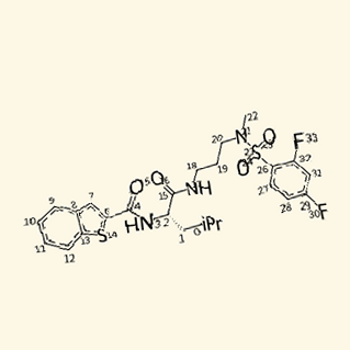 CC(C)C[C@H](NC(=O)c1cc2ccccc2s1)C(=O)NCCCN(C)S(=O)(=O)c1ccc(F)cc1F